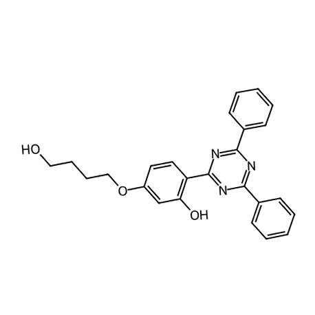 OCCCCOc1ccc(-c2nc(-c3ccccc3)nc(-c3ccccc3)n2)c(O)c1